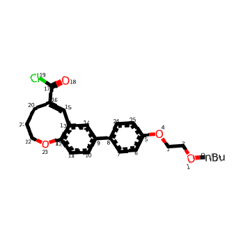 CCCCOCCOc1ccc(-c2ccc3c(c2)/C=C(/C(=O)Cl)CCCO3)cc1